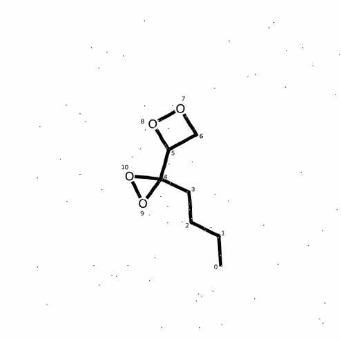 CCCCC1(C2COO2)OO1